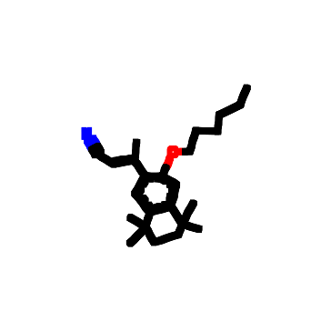 CCCCCCOc1cc2c(cc1C(C)=CC#N)C(C)(C)CCC2(C)C